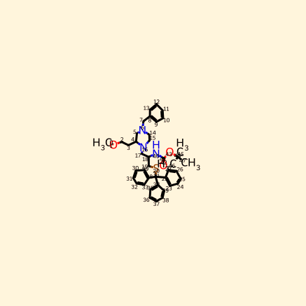 COCCC1CN(Cc2ccccc2)CCN1CC(CSC(c1ccccc1)(c1ccccc1)c1ccccc1)NC(=O)OC(C)(C)C